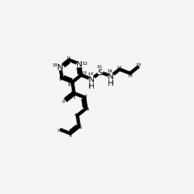 C=C(/C=C\C/C=C\C)c1cncnc1NSNCCC